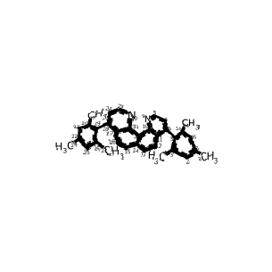 Cc1cc(C)c(-c2ccnc3c2ccc2ccc4c(-c5c(C)cc(C)cc5C)ccnc4c23)c(C)c1